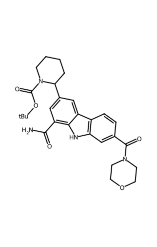 CC(C)(C)OC(=O)N1CCCCC1c1cc(C(N)=O)c2[nH]c3cc(C(=O)N4CCOCC4)ccc3c2c1